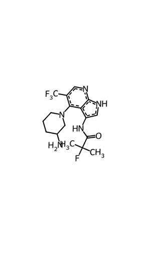 CC(C)(F)C(=O)Nc1c[nH]c2ncc(C(F)(F)F)c(N3CCCC(N)C3)c12